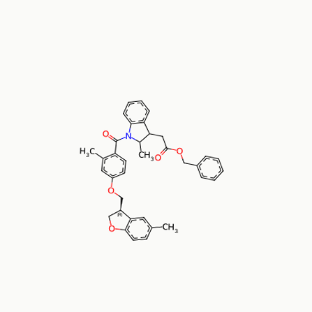 Cc1ccc2c(c1)[C@H](COc1ccc(C(=O)N3c4ccccc4C(CC(=O)OCc4ccccc4)C3C)c(C)c1)CO2